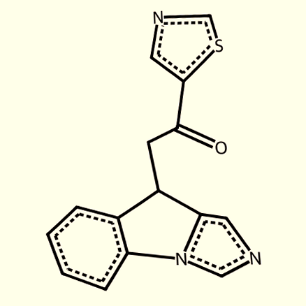 O=C(CC1c2ccccc2-n2cncc21)c1cncs1